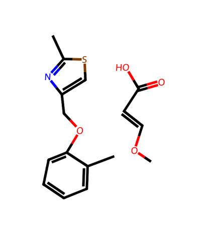 COC=CC(=O)O.Cc1nc(COc2ccccc2C)cs1